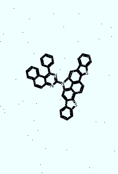 c1ccc(-c2nc(-n3c4cc5c6ccccc6sc5c5ccc6c7sc8ccccc8c7cc3c6c54)nc3ccc4ccccc4c23)cc1